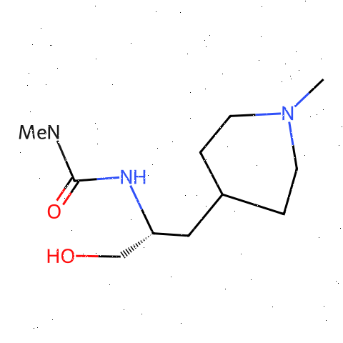 CNC(=O)N[C@@H](CO)CC1CCN(C)CC1